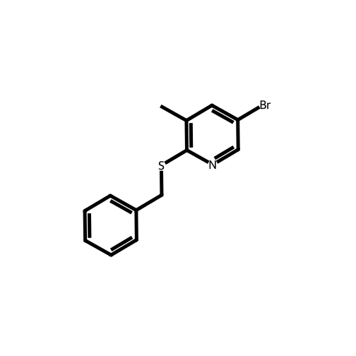 Cc1cc(Br)cnc1SCc1ccccc1